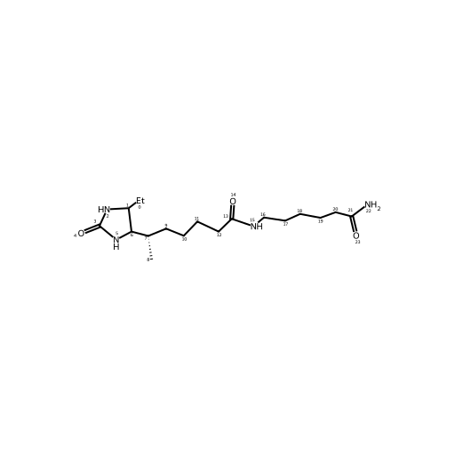 CCC1NC(=O)NC1[C@@H](C)CCCCC(=O)NCCCCCC(N)=O